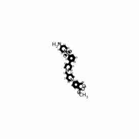 COC(=O)c1ccc(N2CCC(CN3CCC(c4cccc(S(=O)(=O)N5CCC(N)CC5)c4)CC3)CC2)cc1C=O